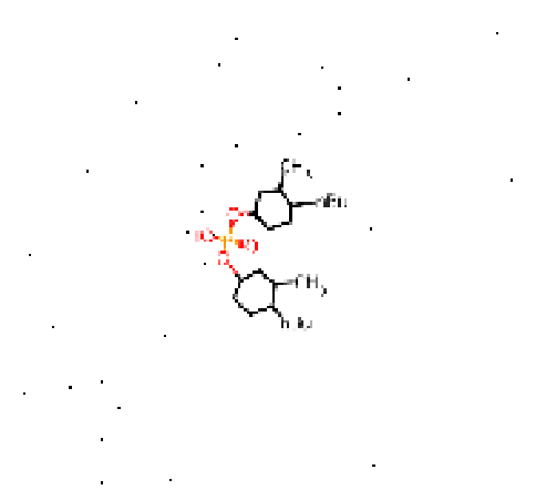 CCCCC1CCC(OP(=O)(O)OC2CCC(CCCC)C(C)C2)CC1C